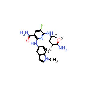 CC(CC(C)C(N)=O)Nc1nc(Nc2ccc3c(ccn3C)c2)c(C(N)=O)cc1F